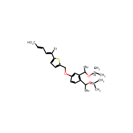 CCC(=CC=CC(=O)O)c1ccc(COc2ccc(C(O[SiH](C)C)C(C)(C)C)c(C(O[SiH](C)C)C(C)(C)C)c2)s1